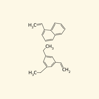 C=Cc1cc(CC)cc(CC)c1.C=Cc1cccc2ccccc12